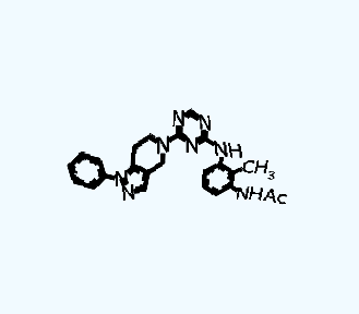 CC(=O)Nc1cccc(Nc2ncnc(N3CCc4c(cnn4-c4ccccc4)C3)n2)c1C